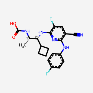 C[C@H](NC(=O)O)[C@H](Nc1nc(Nc2ccc(F)cc2)c(C#N)cc1F)C1CCC1